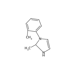 Cc1ccccc1N1C=CNC1C